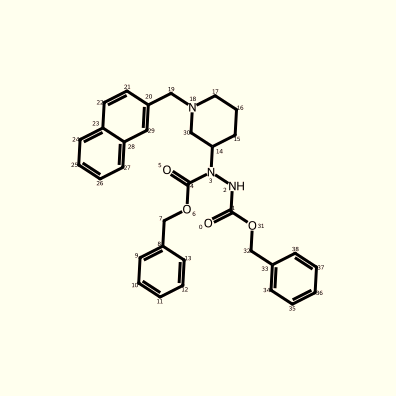 O=C(NN(C(=O)OCc1ccccc1)C1CCCN(Cc2ccc3ccccc3c2)C1)OCc1ccccc1